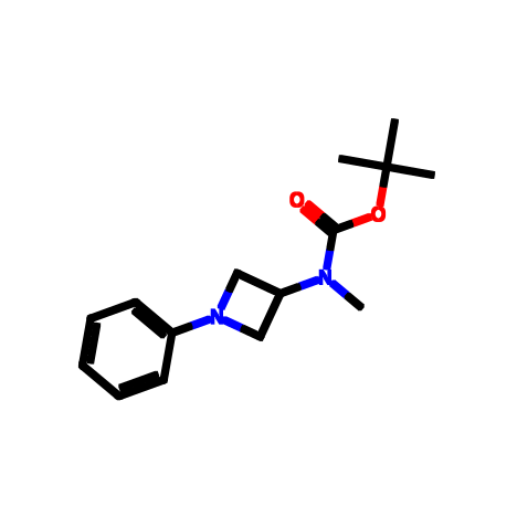 CN(C(=O)OC(C)(C)C)C1CN(c2ccccc2)C1